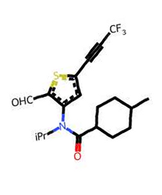 CC1CCC(C(=O)N(c2cc(C#CC(F)(F)F)sc2C=O)C(C)C)CC1